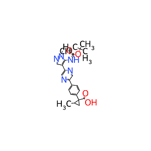 CC1CC1(C(=O)O)c1ccc(-c2cnc(-c3cnn(C)c3NC(=O)OC(C)(C)C)cn2)cc1